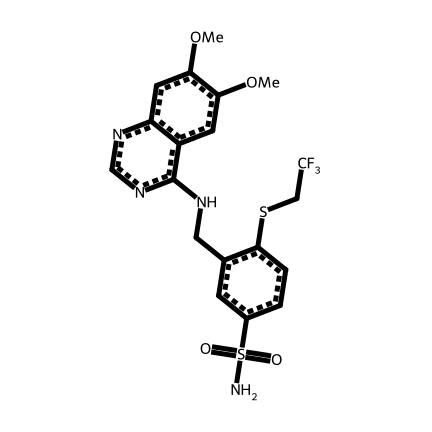 COc1cc2ncnc(NCc3cc(S(N)(=O)=O)ccc3SCC(F)(F)F)c2cc1OC